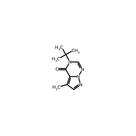 Cc1cnn2ncn(C(C)(C)C)c(=O)c12